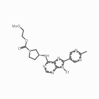 CCn1c(-c2cnc(C)nc2)nc2c(N[C@H]3CCN(C(=O)OCCOC)C3)ncnc21